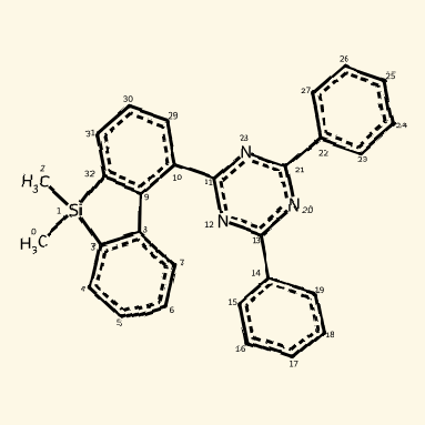 C[Si]1(C)c2ccccc2-c2c(-c3nc(-c4ccccc4)nc(-c4ccccc4)n3)cccc21